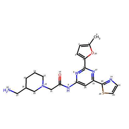 Cc1ccc(-c2nc(NC(=O)CN3CCCC(CN)C3)cc(-c3nccs3)n2)o1